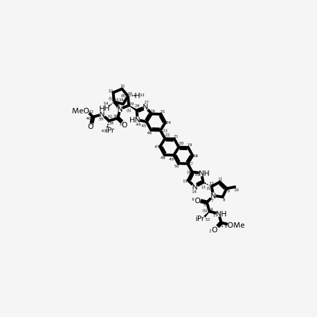 COC(=O)N[C@H](C(=O)N1CC(C)=C[C@H]1c1ncc(-c2ccc3cc(-c4ccc5nc([C@@H]6[C@@H]7CC[C@@H](C7)N6C(=O)[C@@H](NC(=O)OC)C(C)C)[nH]c5c4)ccc3c2)[nH]1)C(C)C